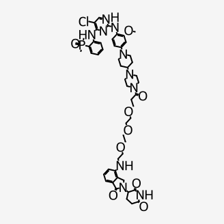 COc1cc(N2CCC(N3CCN(C(=O)CCOCCOCCOCCNc4cccc5c4CN(C4CCC(=O)NC4=O)C5=O)CC3)CC2)ccc1Nc1ncc(Cl)c(Nc2ccccc2P(C)(C)=O)n1